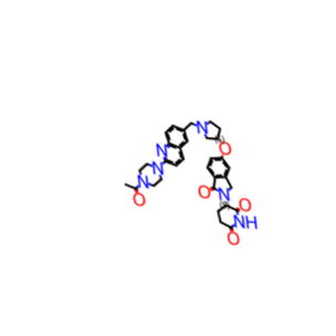 CC(=O)N1CCN(c2ccc3cc(CN4CC[C@H](Oc5ccc6c(c5)CN([C@H]5CCC(=O)NC5=O)C6=O)C4)ccc3n2)CC1